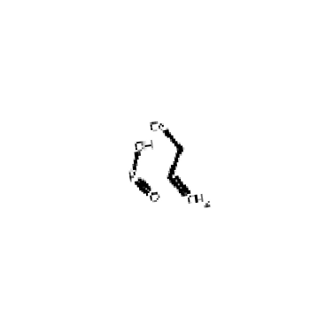 C=C[CH2][Ce].O=PO